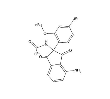 CCCCOc1cc(C(C)C)ccc1C1(NC(=O)CCC)C(=O)c2cccc(N)c2C1=O